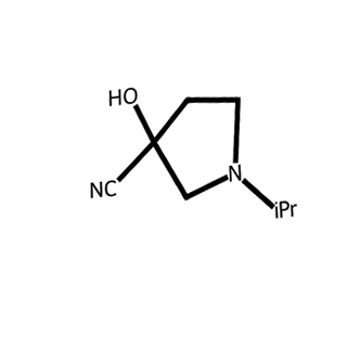 CC(C)N1CCC(O)(C#N)C1